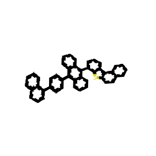 c1ccc2c(-c3ccc(-c4c5ccccc5c(-c5cccc6c5sc5ccc7ccccc7c56)c5ccccc45)cc3)cccc2c1